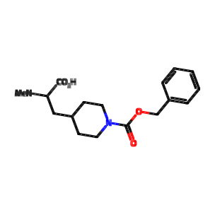 CNC(CC1CCN(C(=O)OCc2ccccc2)CC1)C(=O)O